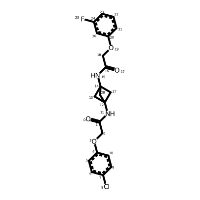 O=C(COc1ccc(Cl)cc1)NC12CC(NC(=O)COc3cccc(F)c3)(C1)C2